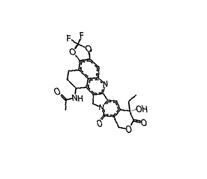 CC[C@@]1(O)C(=O)OCc2c1cc1n(c2=O)Cc2c-1nc1cc3c(c4c1c2C(NC(C)=O)CC4)OC(F)(F)O3